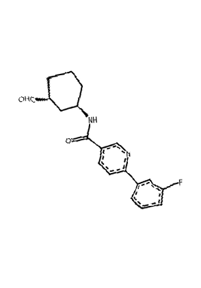 O=C[C@H]1CCC[C@@H](NC(=O)c2ccc(-c3cccc(F)c3)nc2)C1